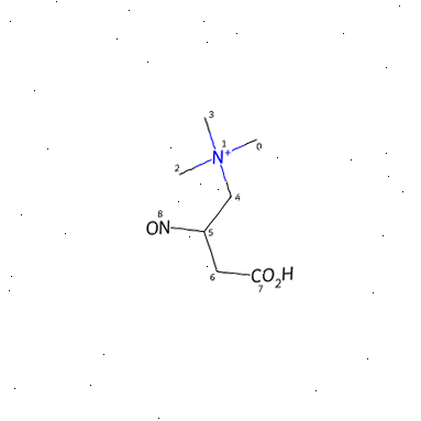 C[N+](C)(C)CC(CC(=O)O)N=O